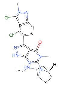 CCN[C@@H]1C[C@@H]2CCC1N2c1nc2[nH]nc(-c3ccc4nn(C)c(Cl)c4c3Cl)c2c(=O)n1C